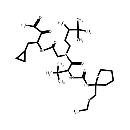 CCSCC1(NC(=O)N[C@H](C(=O)N(CCC(C)C(C)(C)C)CC(=O)NC(CC2CC2)C(=O)C(N)=O)C(C)(C)C)CCCCC1